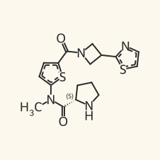 CN(C(=O)[C@@H]1CCCN1)c1ccc(C(=O)N2CC(c3nccs3)C2)s1